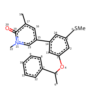 CSc1cc(OC(C)c2ccccc2)cc(-c2cc(C)c(=O)n(C)c2)c1